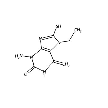 C=C1NC(=O)N(N)c2nc(S)n(CC)c21